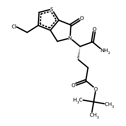 CC(C)(C)OC(=O)CC[C@@H](C(N)=O)N1Cc2c(CCl)csc2C1=O